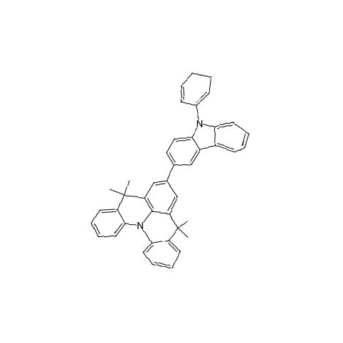 CC1(C)c2ccccc2N2c3ccccc3C(C)(C)c3cc(-c4ccc5c(c4)c4ccccc4n5C4=CCCC=C4)cc1c32